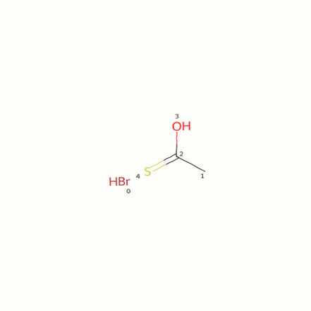 Br.CC(O)=S